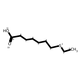 CCSCCCCCCC(=O)O